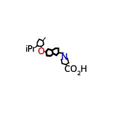 CC(C)C1CC[C@@H](C)C[C@H]1Oc1ccc2cc(CN3CCC(C(=O)O)CC3)ccc2c1